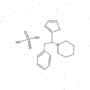 O=S(=O)(O)O.c1ccc(CC(c2cccs2)N2CCCCC2)cc1